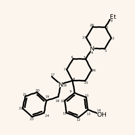 CCC1CCN(C2CCC(c3cccc(O)c3)(N(C)Cc3ccccc3)CC2)CC1